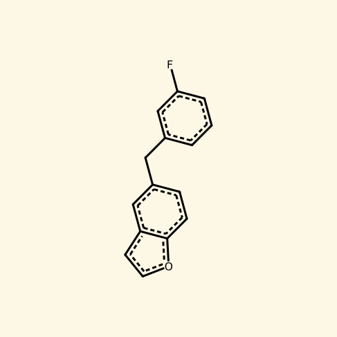 Fc1cccc(Cc2ccc3occc3c2)c1